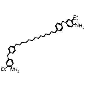 CCc1cc(Cc2ccc(CCCCCCCCCCCCCCc3ccc(Cc4ccc(N)c(CC)c4)cc3)cc2)ccc1N